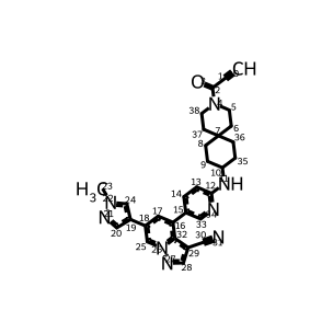 C#CC(=O)N1CCC2(CCC(Nc3ccc(-c4cc(-c5cnn(C)c5)cn5ncc(C#N)c45)cn3)CC2)CC1